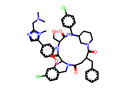 CN(C)Cc1ncc(-c2ccc(Oc3cc(Cl)ccc3CN3C(=O)CC(Cc4ccccc4)C(=O)N4CCCC(Cc5ccc(Cl)cc5)(C4)NC(=O)C(CO)NC(=O)C3I)cc2)n1C